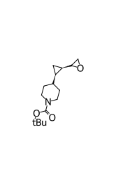 CC(C)(C)OC(=O)N1CCC([C@H]2C[C@H]2C2CO2)CC1